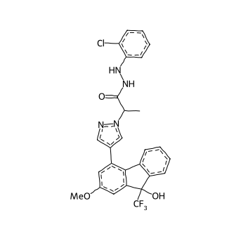 COc1cc(-c2cnn(C(C)C(=O)NNc3ccccc3Cl)c2)c2c(c1)C(O)(C(F)(F)F)c1ccccc1-2